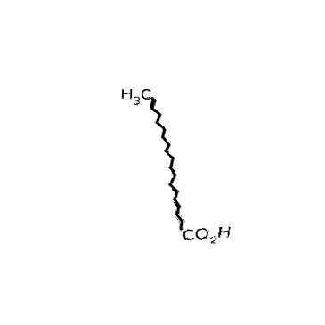 CC=CCCCCCCCCCCCCCCCCC(=O)O